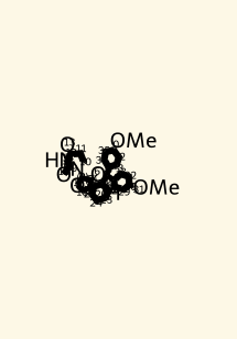 COc1ccc(C(O[C@H]2[C@H](n3ccc(=O)[nH]c3=O)OC[C@@H]2O)(c2ccccc2)c2ccc(OC)cc2)cc1